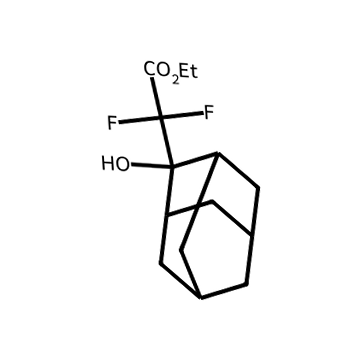 CCOC(=O)C(F)(F)C1(O)C2CC3CC(C2)CC1C3